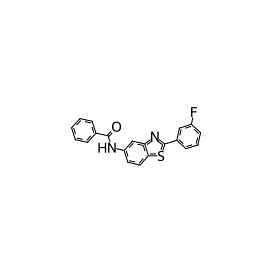 O=C(Nc1ccc2sc(-c3cccc(F)c3)nc2c1)c1ccccc1